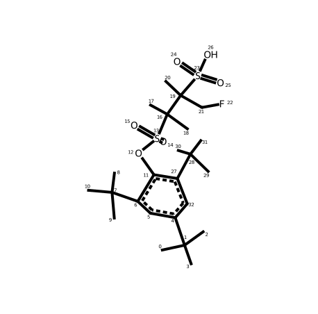 CC(C)(C)c1cc(C(C)(C)C)c(OS(=O)(=O)C(C)(C)C(C)(CF)S(=O)(=O)O)c(C(C)(C)C)c1